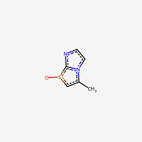 Cc1c[s+]([O-])c2nccn12